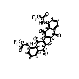 O=C(Nc1cccc2c(=O)c3sc4c(=O)c5cccc(NC(=O)C(F)(F)F)c5c(=O)c4c3c(=O)c12)C(F)(F)F